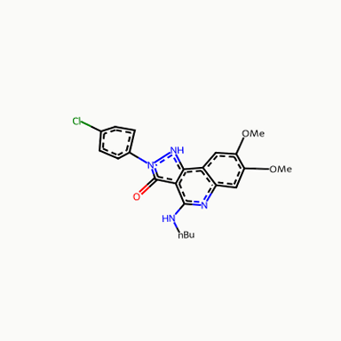 CCCCNc1nc2cc(OC)c(OC)cc2c2[nH]n(-c3ccc(Cl)cc3)c(=O)c12